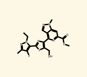 CCn1nc(C)c(F)c1-c1nc(-c2nc(C(=O)OC)cc3c2cnn3C)c(CO)s1